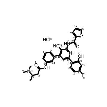 CC(CC(=O)Nc1cccc(-c2cc(-c3ccc(F)cc3O)nc(NC(=O)c3ccco3)c2C#N)c1)N(C)C.Cl